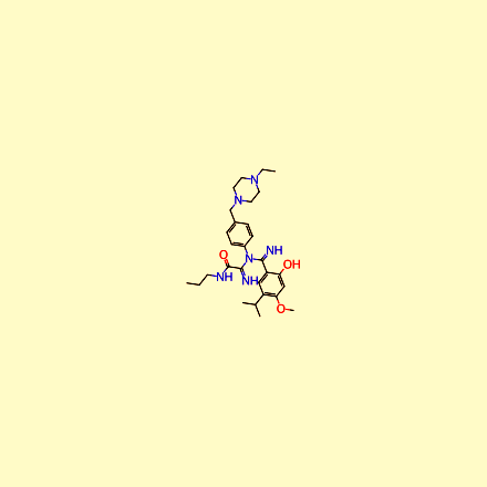 CCCNC(=O)C(=N)N(C(=N)c1cc(C(C)C)c(OC)cc1O)c1ccc(CN2CCN(CC)CC2)cc1